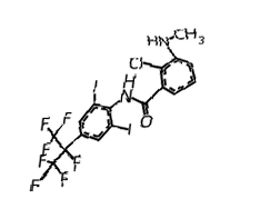 CNc1cccc(C(=O)Nc2c(I)cc(C(F)(C(F)(F)F)C(F)(F)F)cc2I)c1Cl